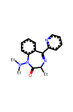 CCC1N=C(c2ccccn2)c2ccccc2N(N(CC)CC)C1=O